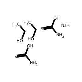 CCO.CCO.NC(O)=S.NC(O)=S.[NaH]